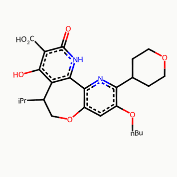 CCCCOc1cc2c(nc1C1CCOCC1)-c1[nH]c(=O)c(C(=O)O)c(O)c1C(C(C)C)CO2